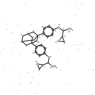 CC(Oc1ccc(C23CC4CC(C2)CC(c2ccc(OC(C)C5CO5)cc2)(C4)C3)cc1)C1CO1